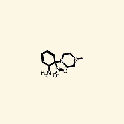 CN1CCN(C2([N+](=O)[O-])C=CC=CC2N)CC1